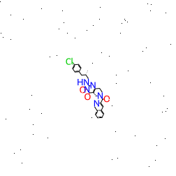 COn1c(NC[C@@H](C)Cc2ccc(Cl)cc2)nc2c(c1=O)CN(C(=O)c1cc3ccccc3cn1)CC2